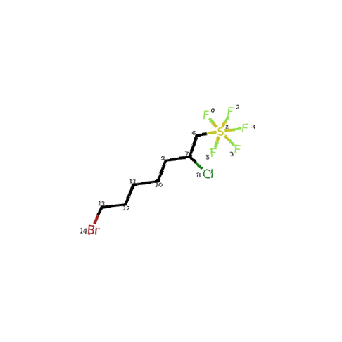 FS(F)(F)(F)(F)CC(Cl)CCCCCBr